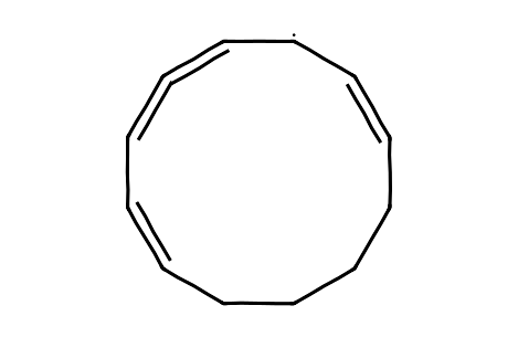 C1=C[CH]/C=C\CCCC/C=C\C=1